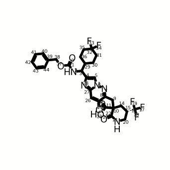 O=C(NC(c1cn2nc(CC3(C(=O)O)C[C@H](C(F)(F)F)CNC3=O)c(Cl)cc2n1)C1CCC(F)(F)CC1)OCc1ccccc1